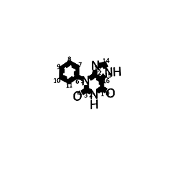 O=c1[nH]c(=O)n(-c2ccccc2)c2nc[nH]c12